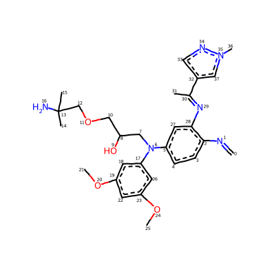 C=Nc1ccc(N(CC(O)COCC(C)(C)N)c2cc(OC)cc(OC)c2)cc1/N=C(\C)c1cnn(C)c1